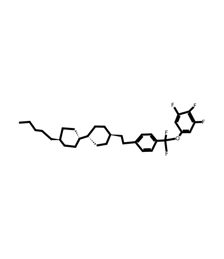 CCCCC[C@H]1CC[C@H]([C@H]2CC[C@H](CCc3ccc(C(F)(F)Oc4cc(F)c(F)c(F)c4)cc3)CC2)CC1